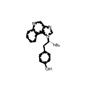 CCCC[C@H](Cc1ccc(O)cc1)n1cnc2cnc3ccccc3c21